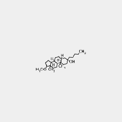 CCCCC[C@@]1(O)CC[C@@]2(C)[C@H](CC[C@@H]3[C@@H]2CC[C@]2(C)[C@@H](OC)CC[C@@H]32)C1